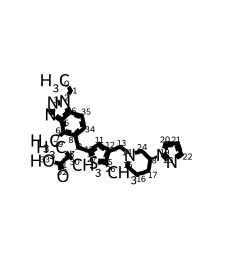 CCn1nnc2c(C)c([C@H](c3cc(CN4CCC[C@H](n5cccn5)C4)c(C)s3)C(C)(C)C(=O)O)ccc21